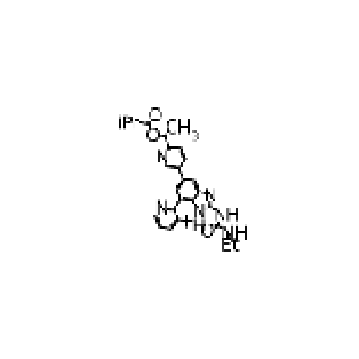 CCNC(=O)Nc1nc2cc(-c3ccc(C(C)OC(=O)C(C)C)nc3)cc(-c3ncccc3F)c2[nH]1